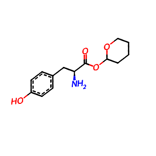 N[C@@H](Cc1ccc(O)cc1)C(=O)OC1CCCCO1